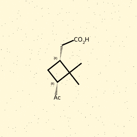 CC(=O)[C@@H]1C[C@H](CC(=O)O)C1(C)C